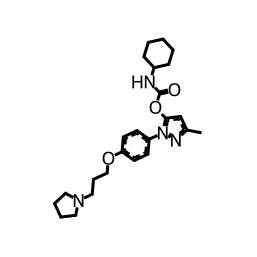 Cc1cc(OC(=O)NC2CCCCC2)n(-c2ccc(OCCCN3CCCC3)cc2)n1